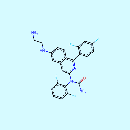 NCCNc1ccc2c(-c3ccc(F)cc3F)nc(N(C(N)=O)c3c(F)cccc3F)cc2c1